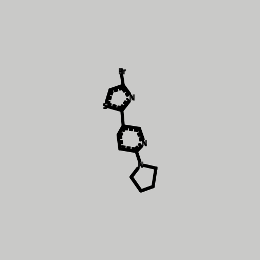 Brc1csc(-c2ccc(N3CCCC3)nc2)n1